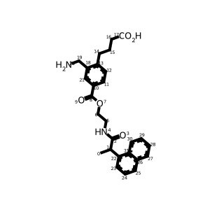 CC(C(=O)NCCOC(=O)c1ccc(CCCC(=O)O)c(CN)c1)c1cccc2ccccc12